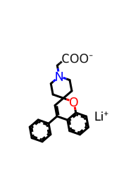 O=C([O-])CN1CCC2(C=C(c3ccccc3)c3ccccc3O2)CC1.[Li+]